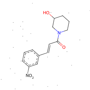 O=C(/C=C/c1cc[c]c([N+](=O)[O-])c1)N1CCCC(O)C1